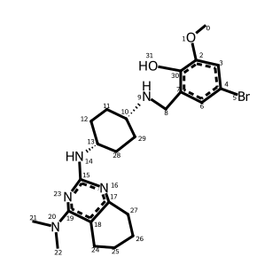 COc1cc(Br)cc(CN[C@H]2CC[C@@H](Nc3nc4c(c(N(C)C)n3)CCCC4)CC2)c1O